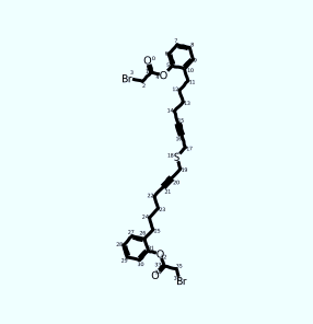 O=C(CBr)Oc1ccccc1CCCCC#CCSCC#CCCCCc1ccccc1OC(=O)CBr